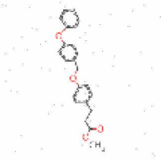 COC(=O)CCc1ccc(OCc2ccc(Oc3ccccc3)cc2)cc1